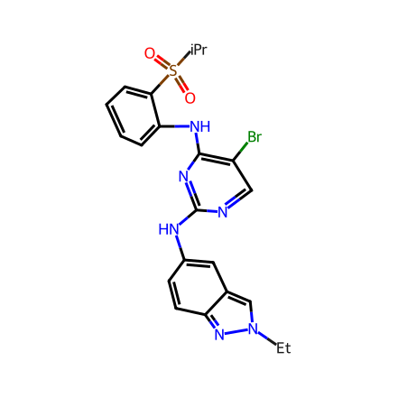 CCn1cc2cc(Nc3ncc(Br)c(Nc4ccccc4S(=O)(=O)C(C)C)n3)ccc2n1